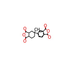 CC1(c2ccc3c(c2)C(=O)OC3=O)CCC2C(=O)OC(=O)C2C1